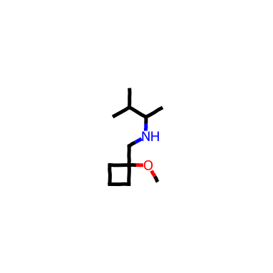 COC1(CNC(C)C(C)C)CCC1